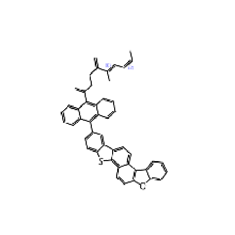 C=C(CCC(=C)c1c2ccccc2c(-c2ccc3sc4c(ccc5c4ccc4oc6ccccc6c45)c3c2)c2ccccc12)/C(C)=C/C=C\C